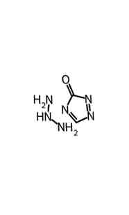 NNN.O=C1N=CN=N1